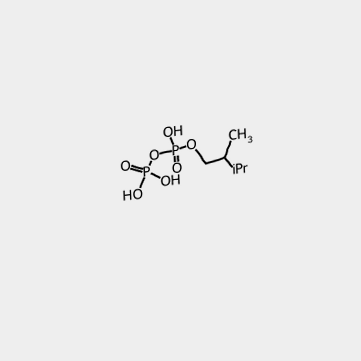 CC(C)C(C)COP(=O)(O)OP(=O)(O)O